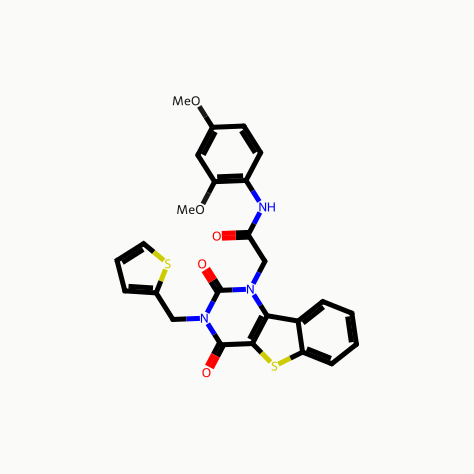 COc1ccc(NC(=O)Cn2c(=O)n(Cc3cccs3)c(=O)c3sc4ccccc4c32)c(OC)c1